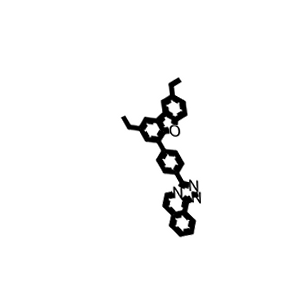 CCc1ccc2oc3c(-c4ccc(-c5nnc6c7ccccc7ccn56)cc4)cc(CC)cc3c2c1